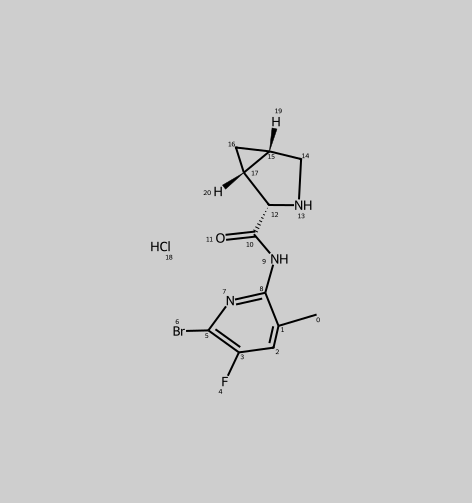 Cc1cc(F)c(Br)nc1NC(=O)[C@H]1NC[C@H]2C[C@H]21.Cl